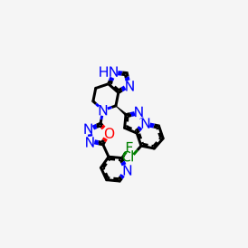 Fc1ncccc1-c1nnc(N2CCc3[nH]cnc3[C@H]2c2cc3c(Cl)cccn3n2)o1